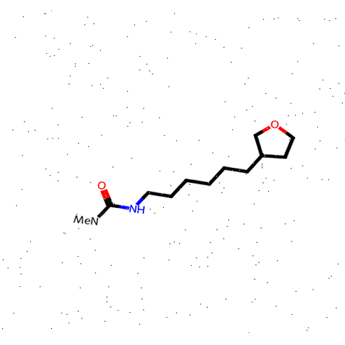 CNC(=O)NCCCCCCC1CCOC1